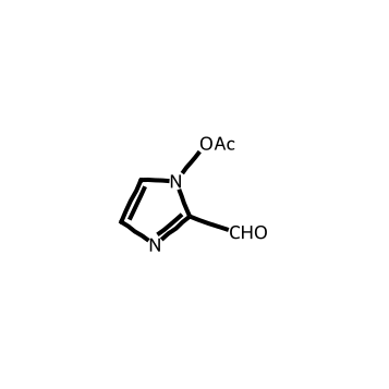 CC(=O)On1ccnc1C=O